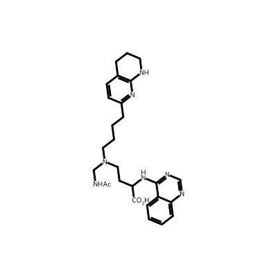 CC(=O)NCN(CCCCc1ccc2c(n1)NCCC2)CCC(Nc1ncnc2ccccc12)C(=O)O